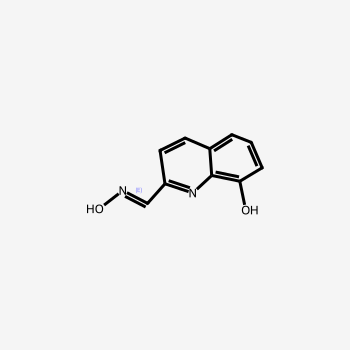 O/N=C/c1ccc2cccc(O)c2n1